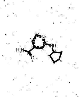 NC(=O)c1ccnc(NC2CCCC2)c1